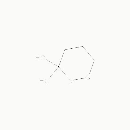 OC1(O)CCCS[N]1